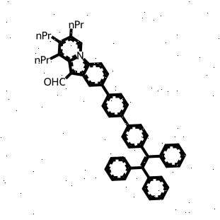 CCCc1cn2c(c(CCC)c1CCC)c(C=O)c1cc(-c3ccc(-c4ccc(C(=C(c5ccccc5)c5ccccc5)c5ccccc5)cc4)cc3)ccc12